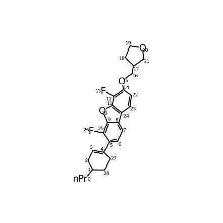 CCCC1CC=C(c2ccc3c(oc4c(F)c(OCC5CCOC5)ccc43)c2F)CC1